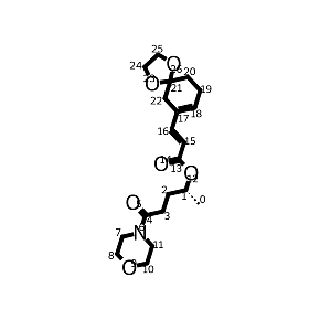 C[C@H](CCC(=O)N1CCOCC1)OC(=O)/C=C/C1=CCCC2(C1)OCCO2